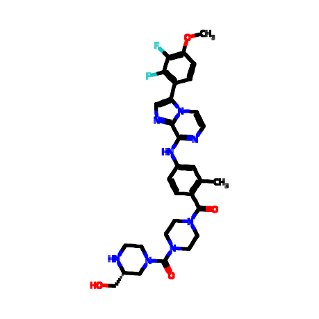 COc1ccc(-c2cnc3c(Nc4ccc(C(=O)N5CCN(C(=O)N6CCN[C@@H](CO)C6)CC5)c(C)c4)nccn23)c(F)c1F